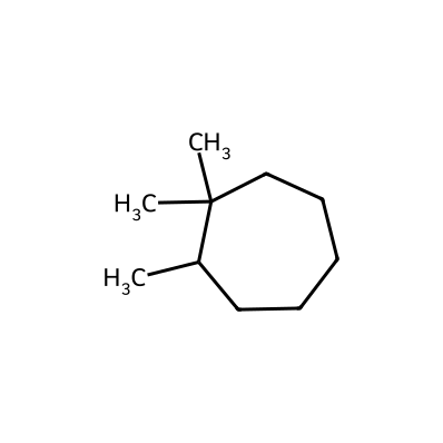 CC1CCCCCC1(C)C